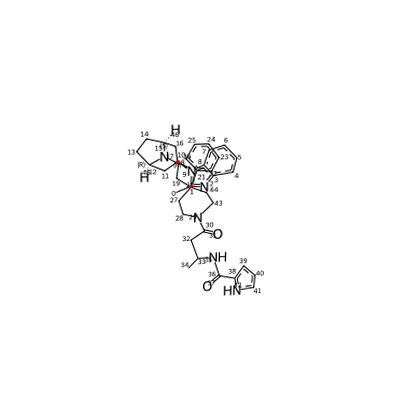 Cc1nc2ccccc2n1[C@H]1C[C@H]2CC[C@@H](C1)N2CCC1(c2ccccc2)CCN(C(=O)CC(C)NC(=O)c2ccc[nH]2)CC1